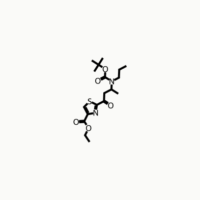 CCCN(C(=O)OC(C)(C)C)C(C)CC(=O)c1nc(C(=O)OCC)cs1